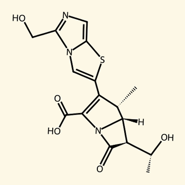 C[C@@H](O)[C@H]1C(=O)N2C(C(=O)O)=C(c3cn4c(CO)ncc4s3)[C@H](C)[C@H]12